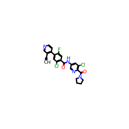 C#Cc1cnccc1-c1cc(Cl)c(C(=O)Nc2cnc(C(=O)N3CCCC3)c(Cl)c2)cc1F